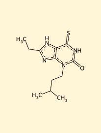 CCc1nc2c([nH]1)c(=S)[nH]c(=O)n2CCC(C)C